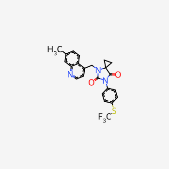 Cc1ccc2c(CN3C(=O)N(c4ccc(SC(F)(F)F)cc4)C(=O)C34CC4)ccnc2c1